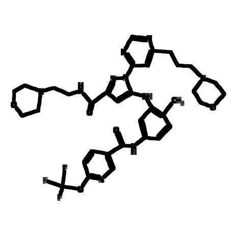 Cc1ccc(NC(=O)c2ccc(OC(F)(F)F)nc2)cc1Nc1cc(C(=O)NCCN2CCOCC2)nn1-c1cc(CCCN2CCOCC2)ncn1